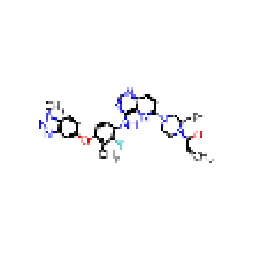 C=CC(=O)N1CCN(c2ccc3ncnc(Nc4ccc(Oc5ccc6c(c5)nnn6C)c(C)c4F)c3n2)C[C@H]1C(C)C